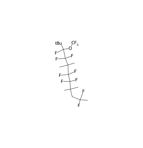 CC(F)(F)CC(C)(C)C(F)(F)C(F)(F)C(C)(C)C(F)(F)C(F)(OC(F)(F)F)C(C)(C)C